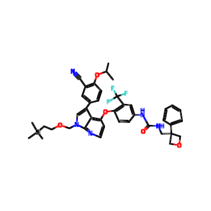 CC(C)Oc1ccc(-c2cn(COCC[Si](C)(C)C)c3nccc(Oc4ccc(NC(=O)NCC5(c6ccccc6)COC5)cc4C(F)(F)F)c23)cc1C#N